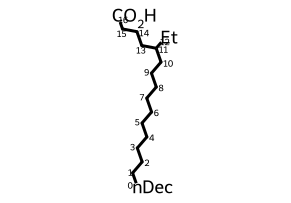 CCCCCCCCCCCCCCCCCCCCC(CC)CCCC(=O)O